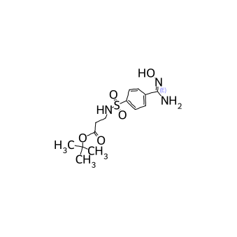 CC(C)(C)OC(=O)CCNS(=O)(=O)c1ccc(/C(N)=N\O)cc1